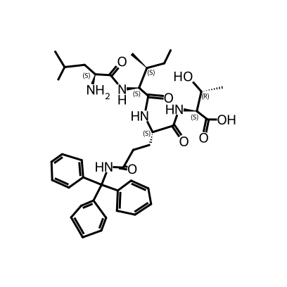 CC[C@H](C)[C@H](NC(=O)[C@@H](N)CC(C)C)C(=O)N[C@@H](CCC(=O)NC(c1ccccc1)(c1ccccc1)c1ccccc1)C(=O)N[C@H](C(=O)O)[C@@H](C)O